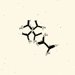 CC(O)[PH](C(C)O)(C(C)O)C(C)O.O=C(O)C(=O)O